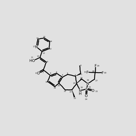 CC[C@@H]1Cc2cc(C(=O)/C=C(\O)c3ccccn3)ccc2C[C@H](C)[C@]12CN(CC(F)(F)F)S(=O)(=O)N2